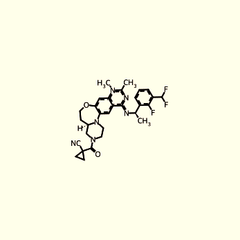 Cc1n/c(=N\[C@H](C)c2cccc(C(F)F)c2F)c2cc3c(cc2n1C)OCC[C@@H]1CN(C(=O)C2(C#N)CC2)CCN31